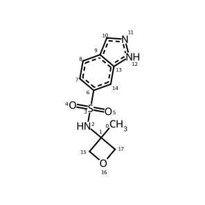 CC1(NS(=O)(=O)c2ccc3cn[nH]c3c2)COC1